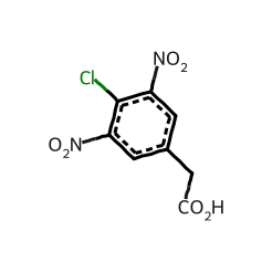 O=C(O)Cc1cc([N+](=O)[O-])c(Cl)c([N+](=O)[O-])c1